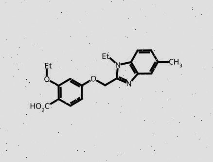 CCOc1cc(OCc2nc3cc(C)ccc3n2CC)ccc1C(=O)O